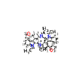 CCn1c2ccc(-c3ccco3)c3c2cc(c2c3c3ccccc3n2CC)n(CC)c2ccc(-c3ccco3)c3c2cc1c1c3c2ccccc2n1CC